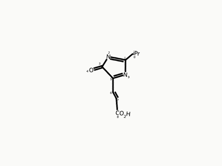 CC(C)C1=NC(=O)C(C=CC(=O)O)=N1